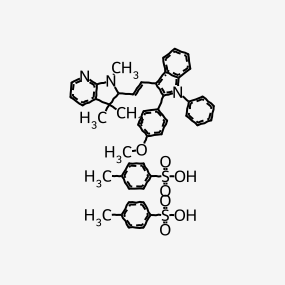 COc1ccc(-c2c(C=CC3N(C)c4ncccc4C3(C)C)c3ccccc3n2-c2ccccc2)cc1.Cc1ccc(S(=O)(=O)O)cc1.Cc1ccc(S(=O)(=O)O)cc1